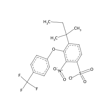 CCC(C)(C)c1ccc(S(=O)(=O)Cl)c([N+](=O)[O-])c1Oc1ccc(C(F)(F)F)cc1